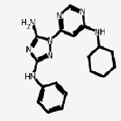 Nc1nc(Nc2ccccc2)nn1-c1cc(NC2CCCCC2)ncn1